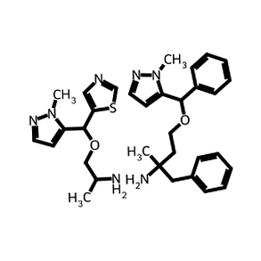 CC(N)COC(c1cncs1)c1ccnn1C.Cn1nccc1C(OCCC(C)(N)Cc1ccccc1)c1ccccc1